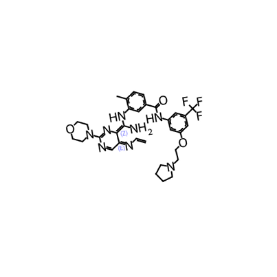 C=C/N=C1/C=NC(N2CCOCC2)=N/C1=C(/N)Nc1cc(C(=O)Nc2cc(OCCN3CCCC3)cc(C(F)(F)F)c2)ccc1C